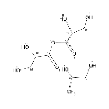 CC(O)CO.O=C(OC(=O)C(O)CO)C(O)CO